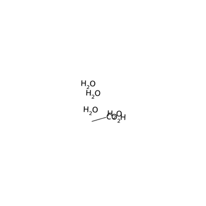 CC(=O)O.O.O.O.O